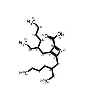 CCCCC(CC)CC1=C(CC(CC)CCCC)C(C(=O)O)=N1